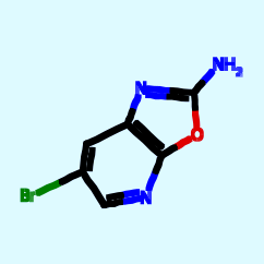 Nc1nc2cc(Br)cnc2o1